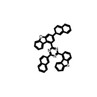 C1=c2ccccc2=CC(c2cc(-c3nc(-c4ccc5ccccc5c4)nc(-c4cccc5sc6ccccc6c45)n3)c3c(c2)oc2ccccc23)C1